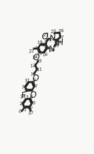 Cc1ccc(Oc2cc(OCCCCOc3cc4c(cc3C)C(=O)N3CCC[C@H]3C=N4)ccc2F)cc1C